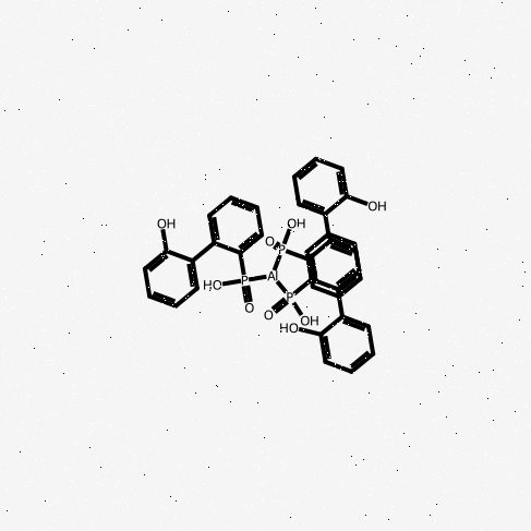 O=[P](O)(c1ccccc1-c1ccccc1O)[Al]([P](=O)(O)c1ccccc1-c1ccccc1O)[P](=O)(O)c1ccccc1-c1ccccc1O